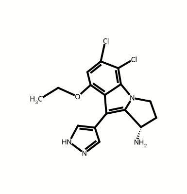 CCOc1cc(Cl)c(Cl)c2c1c(-c1cn[nH]c1)c1n2CC[C@@H]1N